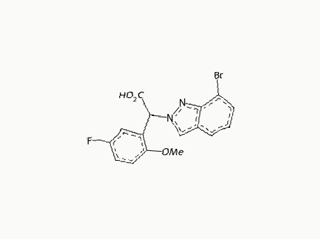 COc1ccc(F)cc1C(C(=O)O)n1cc2cccc(Br)c2n1